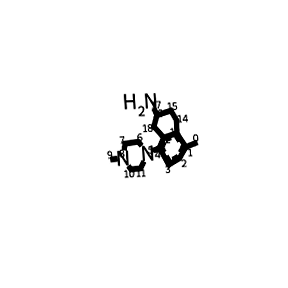 Cc1ccc(N2CCN(C)CC2)c2c1CCC(N)C2